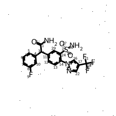 NC(=O)C(c1cccc(F)c1)c1ccc(-n2cc(C(F)(F)F)cn2)c(S(N)(=O)=O)c1